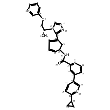 C[C@H](COc1cccnc1)n1cnnc1C1=CC=CC(NC(=O)c2cc(-c3ccc(C4CC4)nc3)ccn2)C1